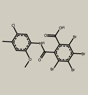 COc1cc(C)c(Cl)cc1NC(=O)c1c(Br)c(Br)c(Br)c(Br)c1C(=O)O